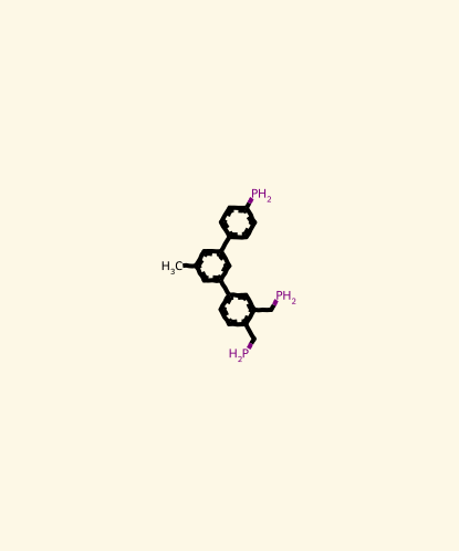 Cc1cc(-c2ccc(P)cc2)cc(-c2ccc(CP)c(CP)c2)c1